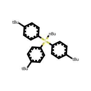 CCCCS(c1ccc(C(C)(C)C)cc1)(c1ccc(C(C)(C)C)cc1)c1ccc(C(C)(C)C)cc1